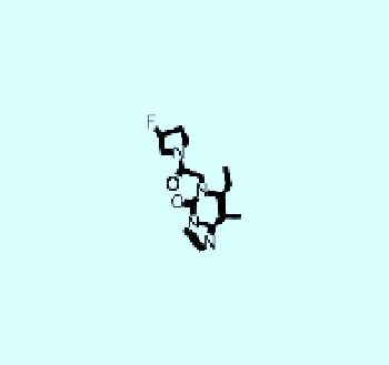 CCc1c(C)c2nccn2c(=O)n1CC(=O)N1CCC(F)C1